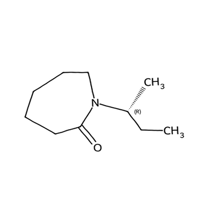 CC[C@@H](C)N1CCCCCC1=O